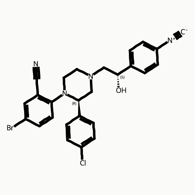 [C-]#[N+]c1ccc([C@H](O)CN2CCN(c3ccc(Br)cc3C#N)[C@H](c3ccc(Cl)cc3)C2)cc1